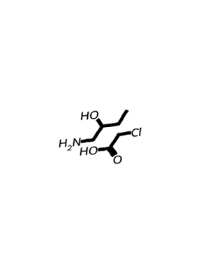 CCC(O)CN.O=C(O)CCl